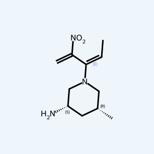 C=C(/C(=C\C)N1C[C@H](C)C[C@H](N)C1)[N+](=O)[O-]